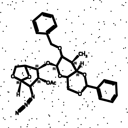 CC(=O)O[C@H]1C(N=[N+]=[N-])[C@@H]2OCC(O2)[C@H]1O[C@@H]1OC2COC(c3ccccc3)O[C@H]2[C@H](C)C1OCc1ccccc1